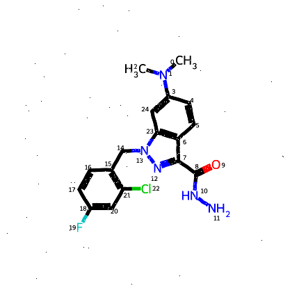 CN(C)c1ccc2c(C(=O)NN)nn(Cc3ccc(F)cc3Cl)c2c1